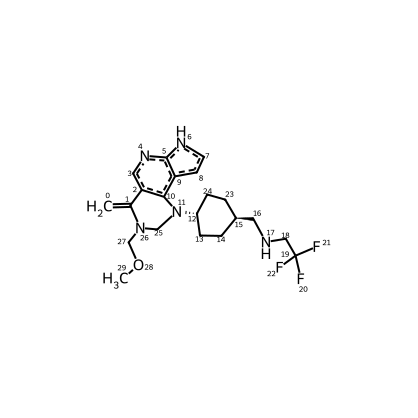 C=C1c2cnc3[nH]ccc3c2N([C@H]2CC[C@H](CNCC(F)(F)F)CC2)CN1COC